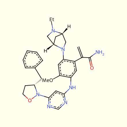 C=C(C(N)=O)c1cc(Nc2cc(N3OCC[C@@H]3Cc3ccccc3)ncn2)c(OC)cc1N1C[C@@H]2C[C@H]1CN2CC